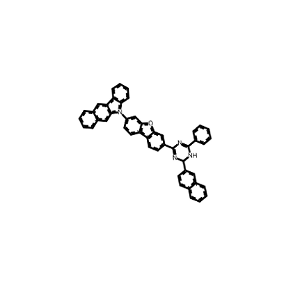 c1ccc(C2=NC(c3ccc4c(c3)oc3cc(-n5c6ccccc6c6cc7ccccc7cc65)ccc34)=NC(c3ccc4ccccc4c3)N2)cc1